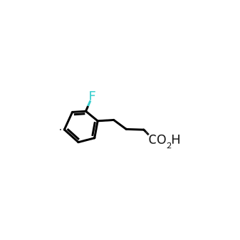 O=C(O)CCCc1cc[c]cc1F